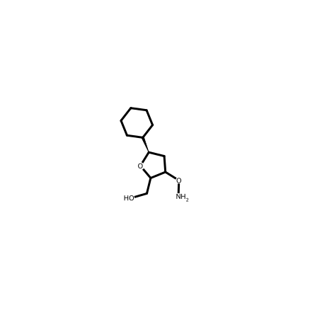 NOC1C[C@H](C2CCCCC2)OC1CO